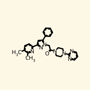 Cc1ccc(-c2cc(-c3ccccc3)n(CC(=O)N3CCN(c4ncccn4)CC3)n2)nc1C